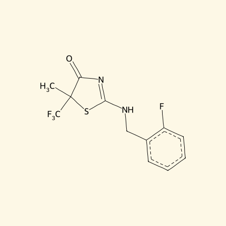 CC1(C(F)(F)F)SC(NCc2ccccc2F)=NC1=O